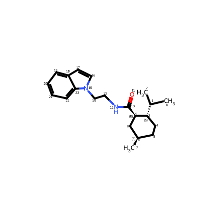 CC(C)[C@@H]1CC[C@@H](C)C[C@H]1C(=O)NCCn1ccc2ccccc21